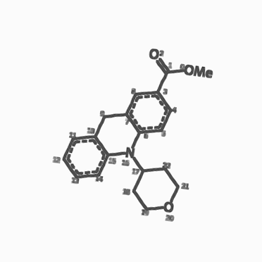 COC(=O)c1ccc2c(c1)Cc1ccccc1N2C1CCOCC1